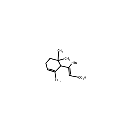 CCCC/C(=C\C(=O)O)C1C(C)=CCCC1(C)C